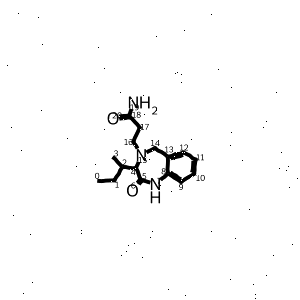 CCC(C)C1C(=O)Nc2ccccc2CN1CCC(N)=O